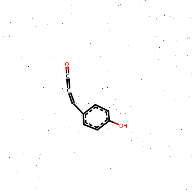 O=C=C=Cc1ccc(O)cc1